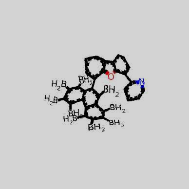 Bc1c(B)c(B)c2c(c1B)c(B)c(-c1cccc3c1oc1c(-c4ccccn4)cccc13)c1c(B)c(B)c(B)c(B)c12